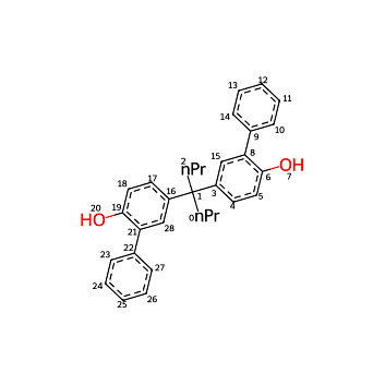 CCCC(CCC)(c1ccc(O)c(-c2ccccc2)c1)c1ccc(O)c(-c2ccccc2)c1